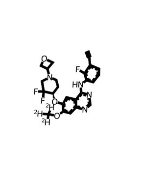 [2H]C([2H])([2H])Oc1cc2ncnc(Nc3cccc(C#C)c3F)c2cc1O[C@@H]1CCN(C2COC2)CC1(F)F